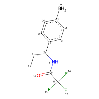 Bc1ccc([C@@H](CC)NC(=O)C(F)(F)F)cc1